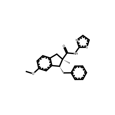 COc1ccc2c(c1)[C@@H](Cc1ccccc1)[C@](C)(C(=O)Nc1nccs1)C2